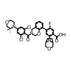 C[C@@H]1COCCN1c1cc(Cl)c(C(=O)N2COc3c(cccc3-c3cc(N4C5CCC4COC5)c(C(=O)O)cc3F)C2)c(Cl)c1